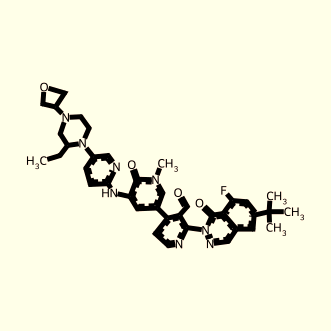 CCC1CN(C2COC2)CCN1c1ccc(Nc2cc(-c3ccnc(-n4ncc5cc(C(C)(C)C)cc(F)c5c4=O)c3C=O)cn(C)c2=O)nc1